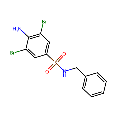 Nc1c(Br)cc(S(=O)(=O)NCc2ccccc2)cc1Br